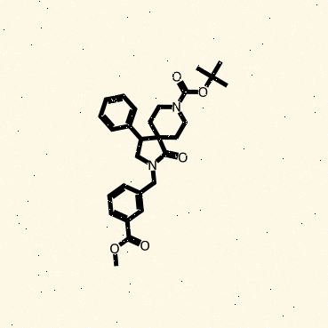 COC(=O)c1cccc(CN2CC(c3ccccc3)C3(CCN(C(=O)OC(C)(C)C)CC3)C2=O)c1